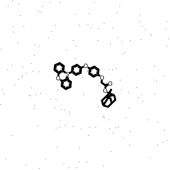 CC1(OC(=O)COc2ccc(Oc3ccc([SH]4c5ccccc5Oc5ccccc54)cc3)cc2)C2CC3CC(C2)CC1C3